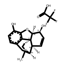 CN1CC[C@]23c4c5ccc(O)c4O[C@H]2[C@@H](O)C=C[C@H]3[C@H]1C5.O=C(O)C(F)(F)F